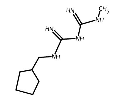 CNC(=N)NC(=N)NCC1CCCC1